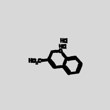 Cl.Cl.O=C(O)C1=Cc2ccccc2OC1